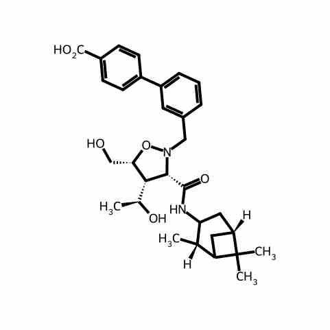 C[C@@H]1C(NC(=O)[C@@H]2[C@H]([C@H](C)O)[C@H](CO)ON2Cc2cccc(-c3ccc(C(=O)O)cc3)c2)C[C@H]2CC1C2(C)C